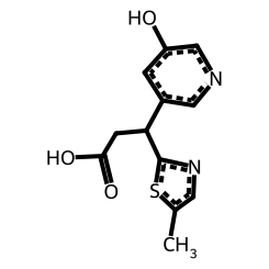 Cc1cnc(C(CC(=O)O)c2cncc(O)c2)s1